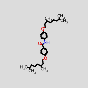 CC(C)CCCC(C)CCOc1ccc(NC(=O)c2ccc(OCCC(C)CCCC(C)C)cc2)cc1